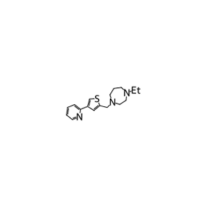 CCN1CCCN(Cc2cc(-c3ccccn3)cs2)CC1